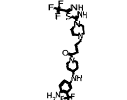 N=C(SC(=N)C(F)(F)F)N1CCN(CCCC(=O)N2CCC(Nc3ccc(N)c(C(F)(F)F)c3)CC2)CC1